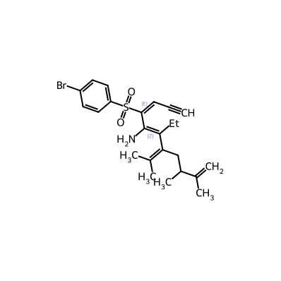 C#C/C=C(\C(N)=C(/CC)C(CC(C)C(=C)C)=C(C)C)S(=O)(=O)c1ccc(Br)cc1